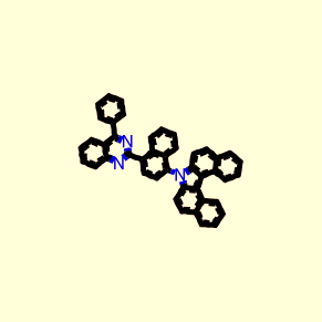 c1ccc(-c2nc(-c3ccc(-n4c5ccc6ccccc6c5c5c6ccccc6ccc54)c4ccccc34)nc3ccccc23)cc1